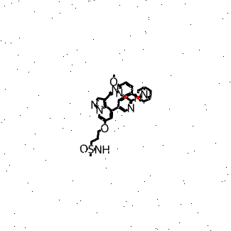 COc1ccc(CN2C3CC2CN(c2ccc(-c4cc(OCCCS(C)(=N)=O)cn5ncc(C#N)c45)cn2)C3)cn1